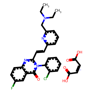 CCN(CC)Cc1cccc(C=Cc2nc3ccc(F)cc3c(=O)n2-c2ccccc2Cl)n1.O=C(O)/C=C\C(=O)O